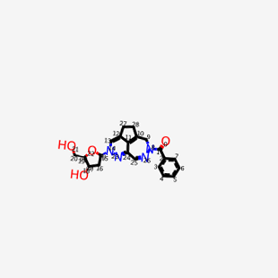 O=C(c1ccccc1)N1CC2=C3C(=CN([C@H]4C[C@H](O)[C@@H](CO)O4)N=C3C=N1)CC2